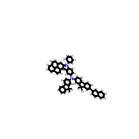 CC1(C)c2ccccc2-c2ccc(N(c3ccc4c(c3)C(C)(C)c3cc(-c5ccc6ccccc6c5)ccc3-4)c3ccc4c(c3)c3c5ccc6cccc7ccc(cc3n4-c3ccccc3)c5c76)cc21